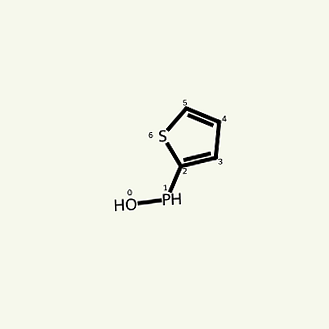 OPc1cccs1